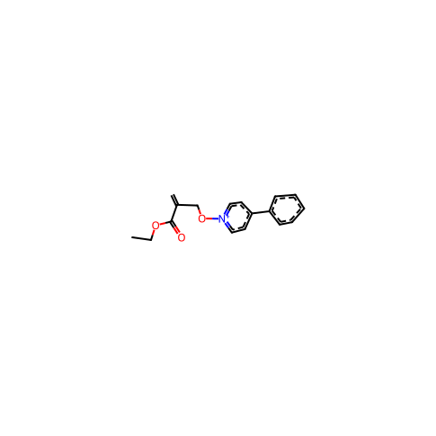 C=C(CO[n+]1ccc(-c2ccccc2)cc1)C(=O)OCC